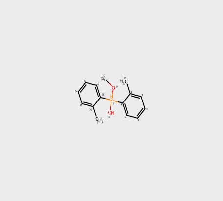 Cc1ccccc1[PH](O)(OC(C)C)c1ccccc1C